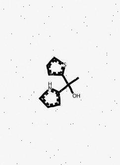 CC(O)(c1ccc[nH]1)c1cccs1